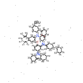 Cc1cc2c3c(c1)N(c1ccc(C(C)(C)C)cc1-c1ccccc1)c1cc4c(cc1B3c1ccc(-n3c5ccccc5c5ccccc53)cc1N2c1ccc(-c2ccccc2)cc1)C(C)(C)CCC4(C)C